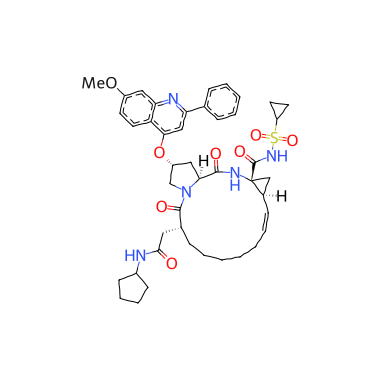 COc1ccc2c(O[C@@H]3C[C@H]4C(=O)N[C@]5(C(=O)NS(=O)(=O)C6CC6)C[C@H]5/C=C\CCCCC[C@H](CC(=O)NC5CCCC5)C(=O)N4C3)cc(-c3ccccc3)nc2c1